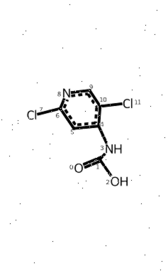 O=C(O)Nc1cc(Cl)ncc1Cl